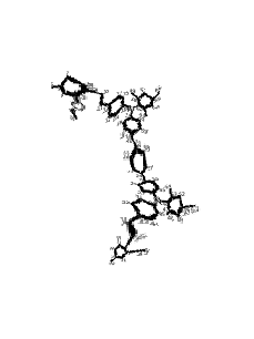 CCOc1cc(C)ccc1/C=C/c1ccc(N(c2ccc(-c3ccc(-c4ccc(N(c5ccc(/C=C/c6ccc(C)cc6C)cc5)c5c(C)cc(C)cc5C)cc4)cc3)cc2)c2c(C)cc(C)cc2C)cc1